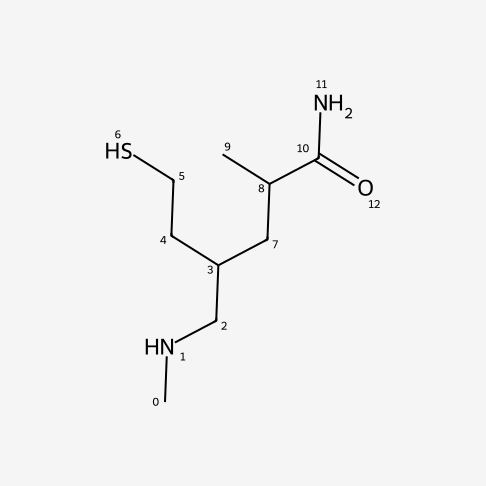 CNCC(CCS)CC(C)C(N)=O